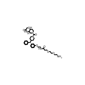 NCCOCCOCCC(=O)NCCOc1cccc([C@H](c2ccccc2)C2CCN(C(=O)N3CC[C@@H]4OCC(=O)N[C@@H]4C3)CC2)c1